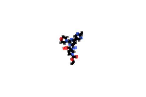 CCOC(=O)N1CC[C@](CO)(Nc2cc(-c3cnc(C)nc3)nc(N3CCOCC3)n2)C1